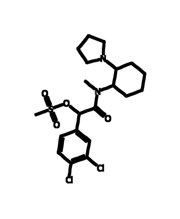 CN(C(=O)C(OS(C)(=O)=O)c1ccc(Cl)c(Cl)c1)C1CCCCC1N1CCCC1